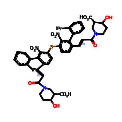 CC(C)c1ccccc1-c1c(/C=C/C(=O)N2CCC(O)C(C(=O)O)C2)ccc(Sc2ccc(/C=C/C(=O)N3CCC(O)C(C(=O)O)C3)c(-c3ccccc3C(C)C)c2[N+](=O)[O-])c1[N+](=O)[O-]